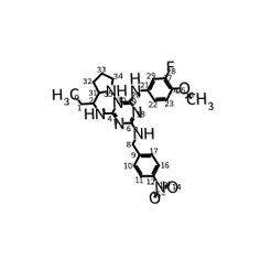 CCC(Nc1nc(NCc2ccc([N+](=O)[O-])cc2)nc(Nc2ccc(OC)c(F)c2)n1)C1CCCN1